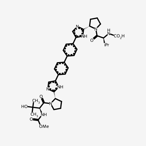 COC(=O)N[C@H](C(=O)N1CCC[C@H]1c1ncc(-c2ccc(-c3ccc(-c4cnc([C@@H]5CCCN5C(=O)[C@@H](NC(=O)O)C(C)C)[nH]4)cc3)cc2)[nH]1)C(C)(C)O